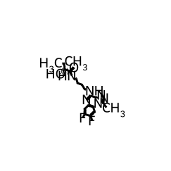 Cc1nnc2c(NCCCCNC(=O)[C@H](O)C(C)C)nc3cc(F)c(F)cc3n12